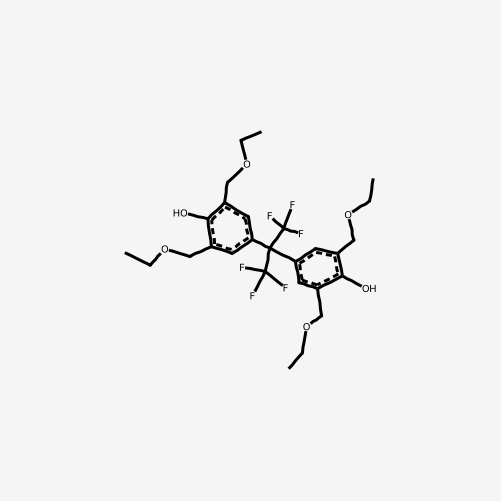 CCOCc1cc(C(c2cc(COCC)c(O)c(COCC)c2)(C(F)(F)F)C(F)(F)F)cc(COCC)c1O